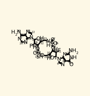 Nc1nc2c(ncn2[C@@H]2O[C@@H]3CO[P@](=O)(S)O[C@H]4[C@@H](F)[C@H](n5cnc6c(N)ncnc65)O[C@@H]4CNS(=O)(=O)O[C@H]3[C@H]2F)c(=O)[nH]1